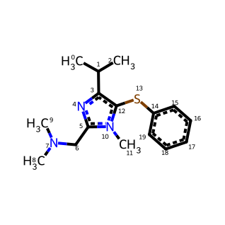 CC(C)c1nc(CN(C)C)n(C)c1Sc1ccccc1